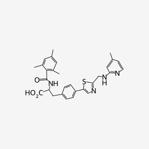 Cc1ccnc(NCc2ncc(-c3ccc(CC(NC(=O)c4c(C)cc(C)cc4C)C(=O)O)cc3)s2)c1